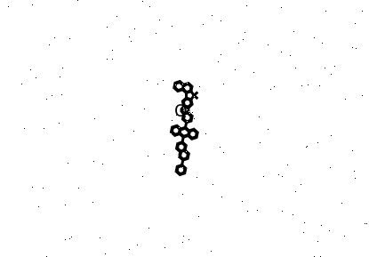 CC1(C)c2cc3c(cc2-c2c1ccc1ccccc21)oc1cc(-c2c4ccccc4c(-c4ccc5cc(-c6ccccc6)ccc5c4)c4ccccc24)ccc13